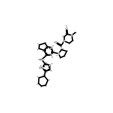 CN1CCN(C(=O)[C@@H]2CCCN2c2nc3c(c(Nc4ncc(C5CCCCC5)[nH]4)n2)CCC3)CC1=O